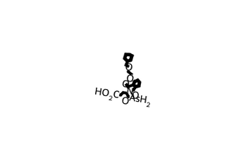 O=C(O)CCC(C(=O)[AsH2])N1C(=O)c2cccc(OCCOCc3ccccc3)c2C1=O